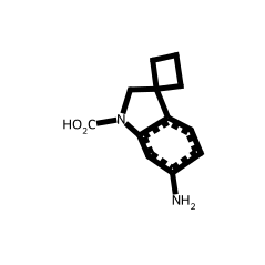 Nc1ccc2c(c1)N(C(=O)O)CC21CCC1